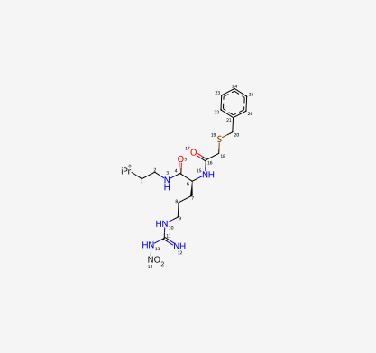 CC(C)CCNC(=O)[C@H](CCCNC(=N)N[N+](=O)[O-])NC(=O)CSCc1ccccc1